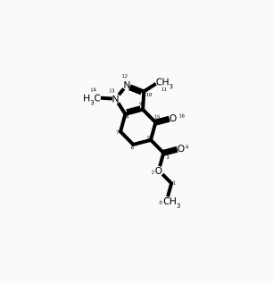 CCOC(=O)C1CCc2c(c(C)nn2C)C1=O